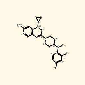 Cc1cc2c(cn1)N=C(N1CCC(C(F)c3ccc(F)cc3F)CC1)CN2C1CC1